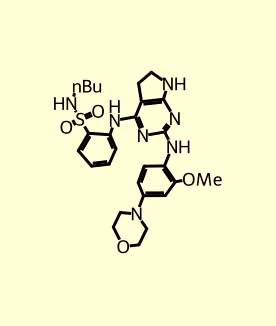 CCCCNS(=O)(=O)c1ccccc1Nc1nc(Nc2ccc(N3CCOCC3)cc2OC)nc2c1CCN2